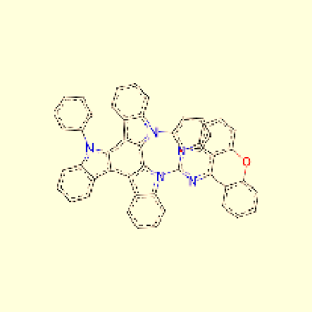 c1ccc(-n2c3ccccc3c3c4c5ccccc5n(-c5nc6c7c(cccc7n5)Oc5ccccc5-6)c4c4c(c5ccccc5n4-c4ccccc4)c32)cc1